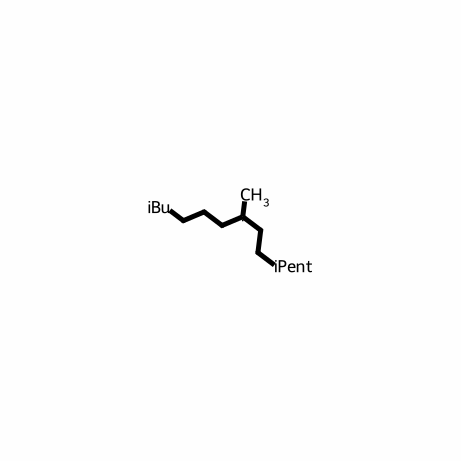 CCCC(C)CC[C](C)CCCC(C)CC